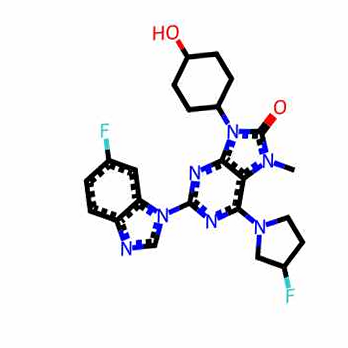 Cn1c(=O)n(C2CCC(O)CC2)c2nc(-n3cnc4ccc(F)cc43)nc(N3CCC(F)C3)c21